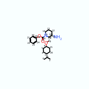 CC(C)[C@H]1CC[C@@H](OC[C@H]2[C@@H](N)CCCN2C(=O)Oc2ccccc2)CC1